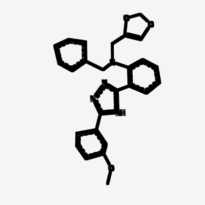 COc1cccc(-c2nnc(-c3ccccc3N(CC3=COCO3)Cc3ccccc3)[nH]2)c1